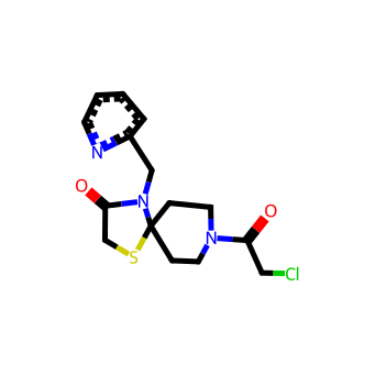 O=C(CCl)N1CCC2(CC1)SCC(=O)N2Cc1ccccn1